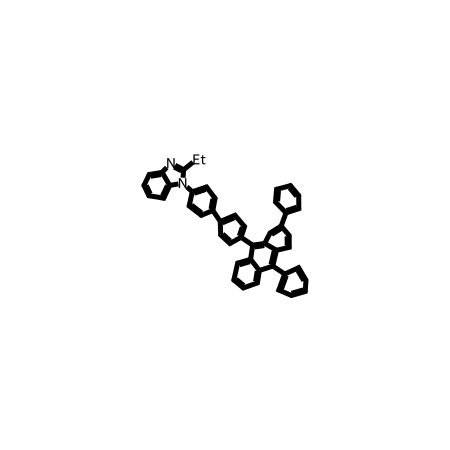 CCc1nc2ccccc2n1-c1ccc(-c2ccc(-c3c4ccccc4c(-c4ccccc4)c4ccc(-c5ccccc5)cc34)cc2)cc1